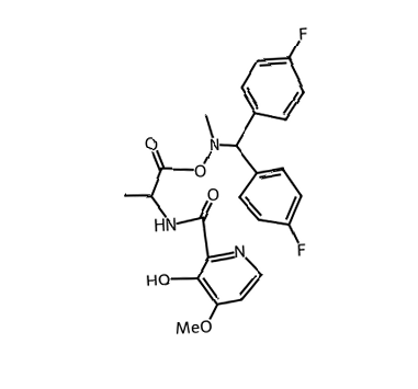 COc1ccnc(C(=O)NC(C)C(=O)ON(C)C(c2ccc(F)cc2)c2ccc(F)cc2)c1O